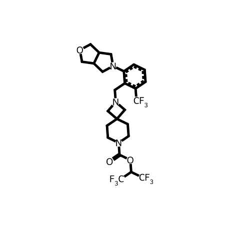 O=C(OC(C(F)(F)F)C(F)(F)F)N1CCC2(CC1)CN(Cc1c(N3CC4COCC4C3)cccc1C(F)(F)F)C2